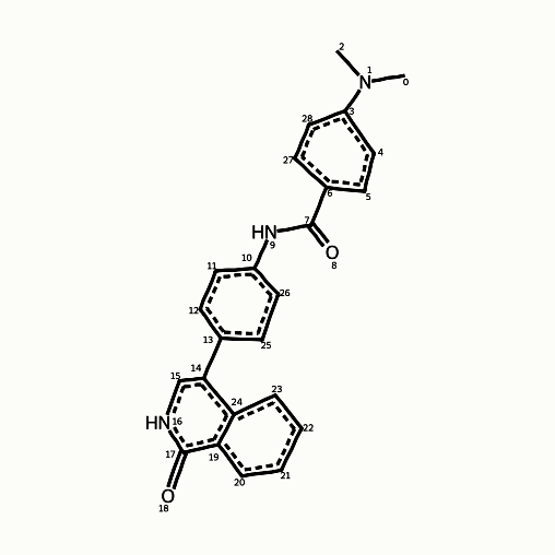 CN(C)c1ccc(C(=O)Nc2ccc(-c3c[nH]c(=O)c4ccccc34)cc2)cc1